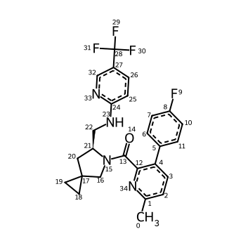 Cc1ccc(-c2ccc(F)cc2)c(C(=O)N2CC3(CC3)C[C@H]2CNc2ccc(C(F)(F)F)cn2)n1